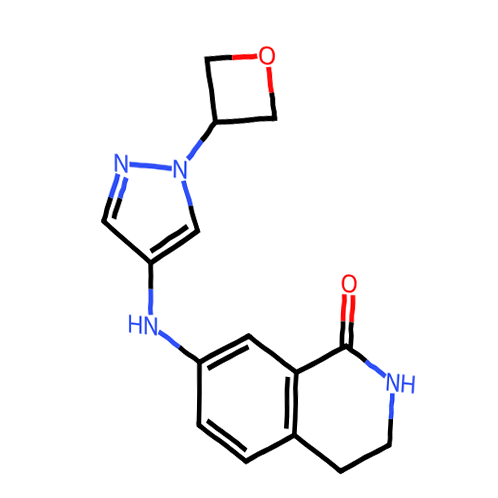 O=C1NCCc2ccc(Nc3cnn(C4COC4)c3)cc21